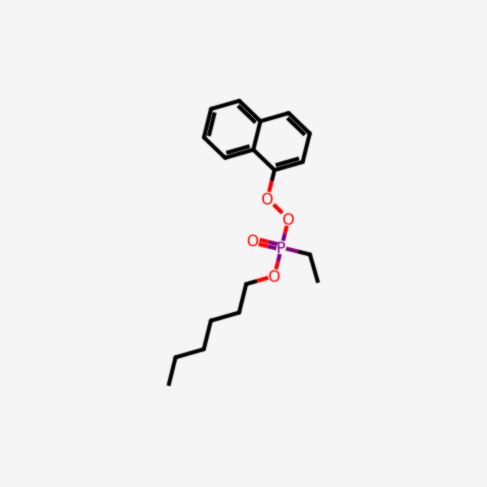 CCCCCCOP(=O)(CC)OOc1cccc2ccccc12